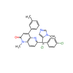 Cc1cccc(-c2cc(=O)n(C)c3ccc([C@](Cl)(c4ccc(Cl)cc4)c4cncn4C)nc23)c1